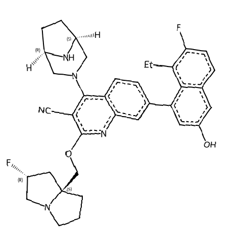 CCc1c(F)ccc2cc(O)cc(-c3ccc4c(N5C[C@H]6CC[C@@H](C5)N6)c(C#N)c(OC[C@@]56CCCN5C[C@H](F)C6)nc4c3)c12